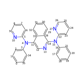 c1ccc(N(c2ccccn2)c2cnc(N(c3ccccc3)c3ccccn3)c3ccccc23)cc1